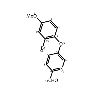 COc1ccc(Oc2ccc(C=O)nc2)c(Br)c1